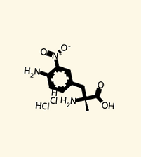 C[C@@](N)(Cc1ccc(N)c([N+](=O)[O-])c1)C(=O)O.Cl.Cl